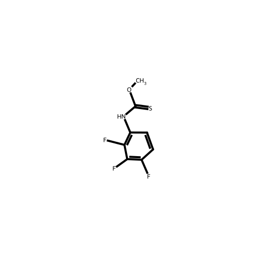 COC(=S)Nc1ccc(F)c(F)c1F